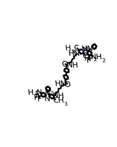 C=C1C=C(NCCCCCCNC(=O)c2ccc(-c3ccc(C(=O)NCCCCCCNc4cc5c(cc4C)nc4cc(C(F)(F)F)c(N)cc4[n+]5-c4ccccc4)cc3)cc2)C(C)=C/C1=N/c1cc(C(F)(F)F)c(N)cc1Nc1ccccc1